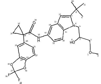 COCC(O)Cn1c(C(C)(C)C)cc2cc(NC(=O)C3(c4ccc5c(c4)OC(F)(F)O5)CC3)ccc21